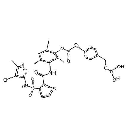 Cc1cc(C)c(OC(=O)Oc2ccc(CON(O)O)cc2)c(C)c1NC(=O)c1sccc1S(=O)(=O)Nc1onc(C)c1Cl